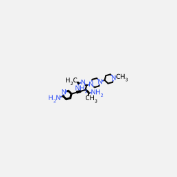 C=C(N)/N=C(\C(C#Cc1ccc(N)nc1)=C(\C)N)N1CCN(C2CCN(C)CC2)CC1